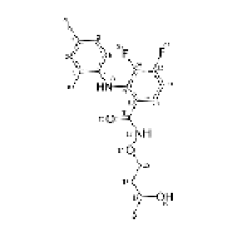 Cc1cc(I)ccc1Nc1c(C(=O)NOCCC(C)O)ccc(F)c1F